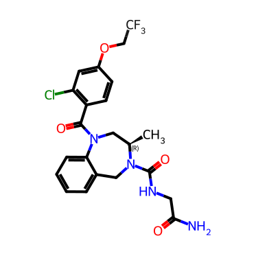 C[C@@H]1CN(C(=O)c2ccc(OCC(F)(F)F)cc2Cl)c2ccccc2CN1C(=O)NCC(N)=O